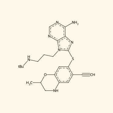 C#Cc1cc2c(cc1Sc1nc3c(N)ncnc3n1CCCNC(C)(C)C)OC(C)CN2